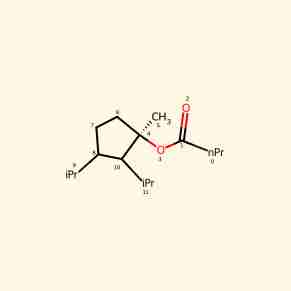 CCCC(=O)O[C@]1(C)CCC(C(C)C)C1C(C)C